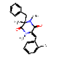 CCCCN1C(=O)/C(=C/c2ccccc2C#N)N(C)C(=O)C1(C)Cc1ccccc1